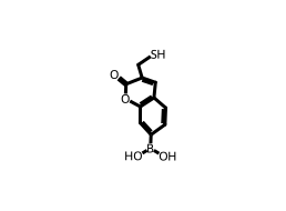 O=c1oc2cc(B(O)O)ccc2cc1CS